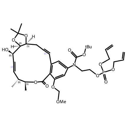 C=CCOP(=O)(OCC=C)OCCN(C(=O)OC(C)(C)C)c1cc2c(c(OCOC)c1)C(=O)O[C@@H](C)[C@H](C)/C=C\[C@@H](O)[C@H]1OC(C)(C)O[C@H]1C/C=C/2